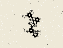 CCOc1cc(C(=O)N[C@@H](Cc2ccccc2)[C@@H](O)CNCc2cc(C(F)(F)F)cc(C(F)(F)F)c2)cc(N2CCCCS2(O)O)c1